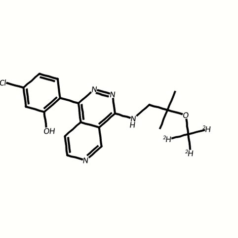 [2H]C([2H])([2H])OC(C)(C)CNc1nnc(-c2ccc(Cl)cc2O)c2ccncc12